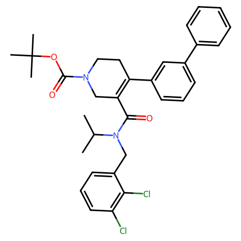 CC(C)N(Cc1cccc(Cl)c1Cl)C(=O)C1=C(c2cccc(-c3ccccc3)c2)CCN(C(=O)OC(C)(C)C)C1